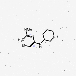 CC/C=C(\N=C(/C)NC)NC1CCCNC1